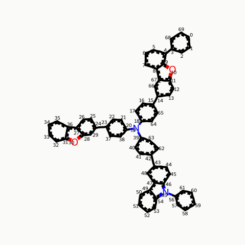 c1ccc(-c2cccc3c2oc2ccc(-c4ccc(N(c5ccc(-c6ccc7c(c6)oc6ccccc67)cc5)c5ccc(-c6ccc7c(c6)c6ccccc6n7-c6ccccc6)cc5)cc4)cc23)cc1